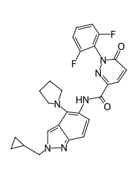 O=C(Nc1ccc2nn(CC3CC3)cc2c1N1CCCC1)c1ccc(=O)n(-c2c(F)cccc2F)n1